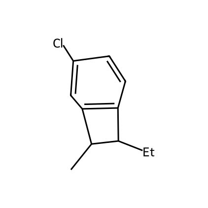 CCC1c2ccc(Cl)cc2C1C